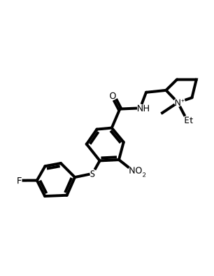 CC[N+]1(C)CCCC1CNC(=O)c1ccc(Sc2ccc(F)cc2)c([N+](=O)[O-])c1